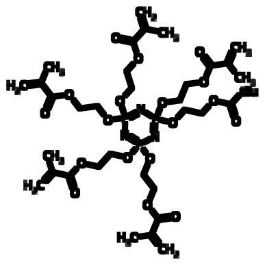 C=C(C)C(=O)OCCOP1(OCCOC(=O)C(=C)C)=NP(OCCOC(=O)C(=C)C)(OCCOC(=O)C(=C)C)=NP(OCCOC(=O)C(=C)C)(OCCOC(=O)C(C)(C)C)=N1